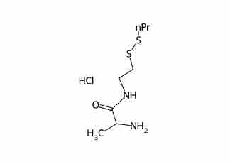 CCCSSCCNC(=O)C(C)N.Cl